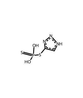 OP(O)(=S)Sc1c[nH]nn1